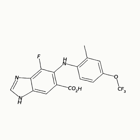 Cc1cc(OC(F)(F)F)ccc1Nc1c(C(=O)O)cc2[nH]cnc2c1F